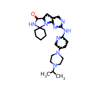 CC(C)N1CCN(c2ccc(Nc3ncc4cc5n(c4n3)C3(CCCCC3)NC5=O)nc2)CC1